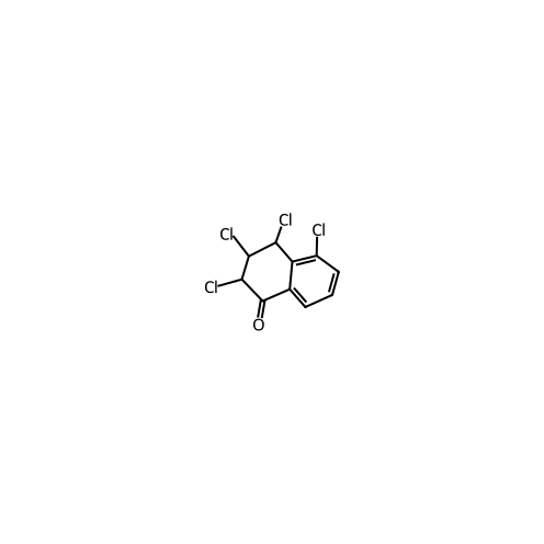 O=C1c2cccc(Cl)c2C(Cl)C(Cl)C1Cl